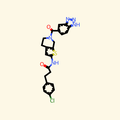 O=C(CCc1ccc(Cl)cc1)Nc1cc2c(s1)CN(C(=O)c1ccc3[nH]nnc3c1)CC2